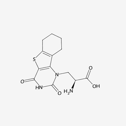 N[C@@H](Cn1c(=O)[nH]c(=O)c2sc3c(c21)CCCC3)C(=O)O